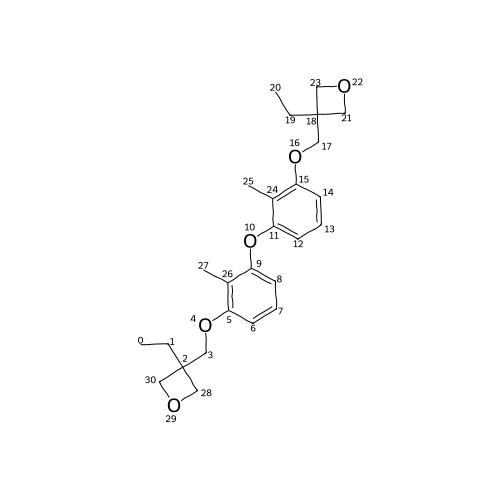 CCC1(COc2cccc(Oc3cccc(OCC4(CC)COC4)c3C)c2C)COC1